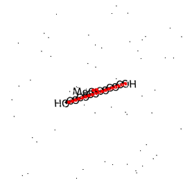 C=CCOC.OCCOCCOCCOCCOCCOCCOCCOCCOCCOCCOCCOCCO